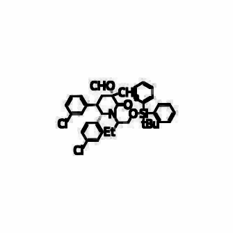 CCC(CO[Si](c1ccccc1)(c1ccccc1)C(C)(C)C)N1C(=O)[C@@](C)(C=O)C[C@H](c2cccc(Cl)c2)[C@H]1c1ccc(Cl)cc1